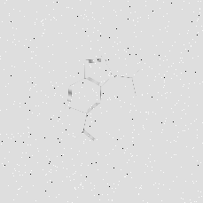 CC(C)n1ncc2cnc(C(=O)O)cc21